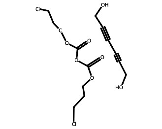 O=C(OCCCCl)OC(=O)OCCCCl.OCC#CC#CCO